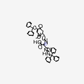 CON1C=C(OC(c2ccccc2)c2ccccc2)C(=O)CC1CO/N=C(\C(=O)O)c1csc(NC(c2ccccc2)(c2ccccc2)c2ccccc2)n1